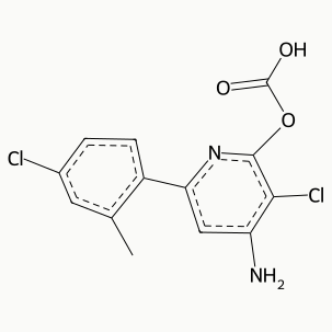 Cc1cc(Cl)ccc1-c1cc(N)c(Cl)c(OC(=O)O)n1